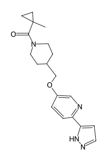 CC1(C(=O)N2CCC(COc3ccc(-c4ccn[nH]4)nc3)CC2)CC1